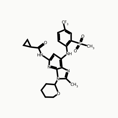 Cc1nc2c(Nc3ccc(C(F)(F)F)cc3S(C)(=O)=O)cc(NC(=O)C3CC3)nc2n1C1CCCCO1